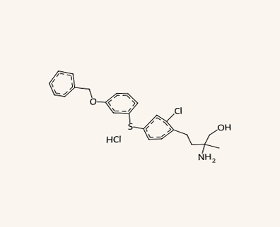 CC(N)(CO)CCc1ccc(Sc2cccc(OCc3ccccc3)c2)cc1Cl.Cl